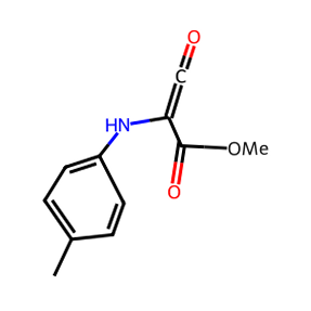 COC(=O)C(=C=O)Nc1ccc(C)cc1